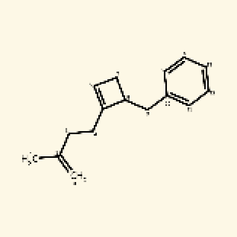 C=C(C)CCC1=CCC1Cc1ccccc1